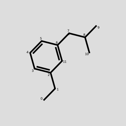 CCc1cccc([CH]C(C)C)c1